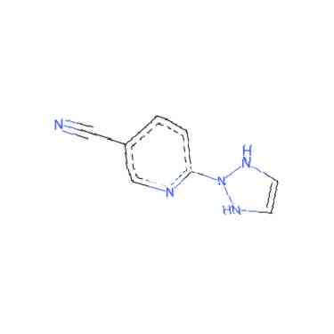 N#Cc1ccc(N2NC=CN2)nc1